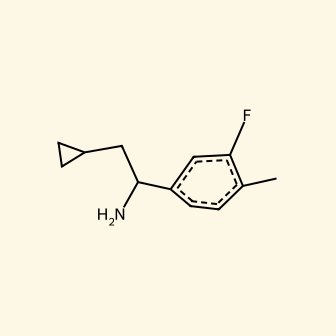 Cc1ccc(C(N)CC2CC2)cc1F